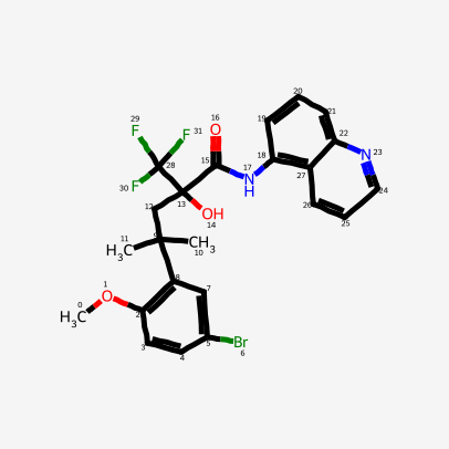 COc1ccc(Br)cc1C(C)(C)CC(O)(C(=O)Nc1cccc2ncccc12)C(F)(F)F